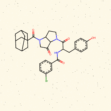 O=C(NC(Cc1ccc(O)cc1)C(=O)N1CCC2C1C(=O)CN2C(=O)C12CC3CC(CC(C3)C1)C2)c1cccc(Br)c1